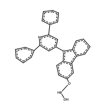 OBOc1ccc2c(c1)c1ccccc1n2-c1cc(-c2ccccc2)nc(-c2ccccc2)c1